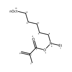 C=C(C)C(=O)ON(CC)CCCCCCCCCCCCC